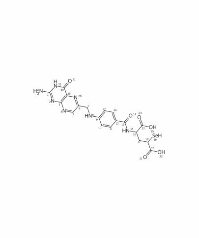 Nc1nc2ncc(CNc3ccc(C(=O)NC(CC([SeH])C(=O)O)C(=O)O)cc3)nc2c(=O)[nH]1